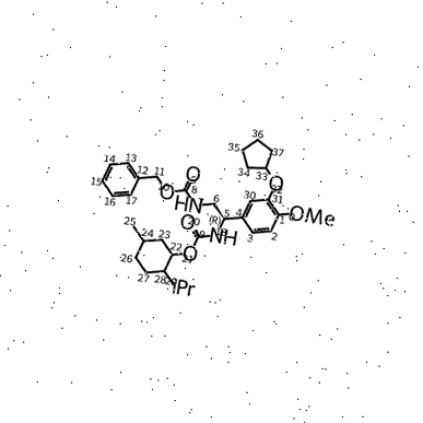 COc1ccc([C@H](CNC(=O)OCc2ccccc2)NC(=O)OC2CC(C)CCC2C(C)C)cc1OC1CCCC1